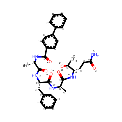 CC(C)[C@H](NC(=O)c1ccc(-c2ccccc2)cc1)C(=O)N[C@@H](Cc1ccccc1)C(=O)N[C@H](C)C(=O)N[C@@H](CCC(N)=O)C(O)C(F)(F)F